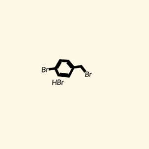 Br.BrCc1ccc(Br)cc1